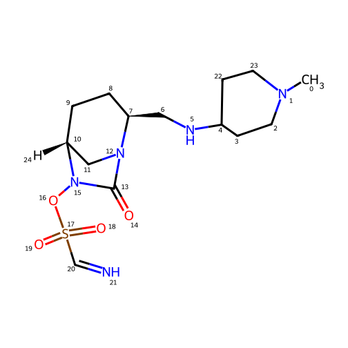 CN1CCC(NC[C@@H]2CC[C@@H]3CN2C(=O)N3OS(=O)(=O)C=N)CC1